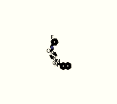 O=C(/C=C/c1cccc(F)c1)N1CCN(c2nc(-c3ccc4ccccc4c3)no2)CC1